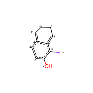 Oc1ccc2c(c1I)=CCCC=2